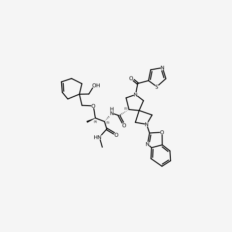 CNC(=O)[C@@H](NC(=O)[C@@H]1CN(C(=O)c2cncs2)CC12CN(c1nc3ccccc3o1)C2)[C@@H](C)OCC1(CO)CC=CCC1